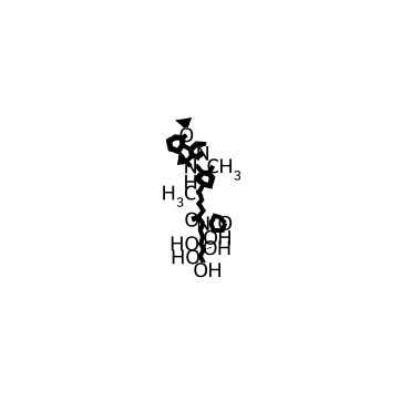 Cc1ccc(C(C)CCCC(=O)N(C[C@H](O)[C@@H](O)[C@H](O)[C@H](O)CO)C2CCOCC2)cc1CNC1(c2cnccc2-c2ccccc2OC2CC2)CC1